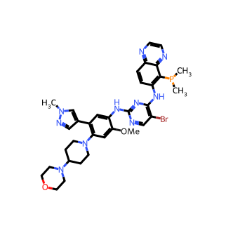 COc1cc(N2CCC(N3CCOCC3)CC2)c(-c2cnn(C)c2)cc1Nc1ncc(Br)c(Nc2ccc3nccnc3c2P(C)C)n1